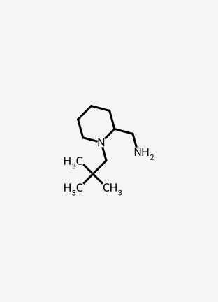 CC(C)(C)CN1CCCCC1CN